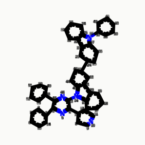 c1ccc(-c2nc(-c3ccncc3)c(-n3c4ccccc4c4cc(-c5ccc6c(c5)c5ccccc5n6-c5ccccc5)ccc43)nc2-c2ccccc2)cc1